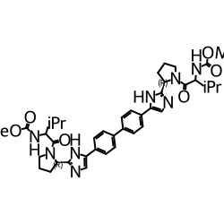 COC(=O)NC(C(=O)N1CCC[C@@H]1c1ncc(-c2ccc(-c3ccc(-c4cnc([C@H]5CCCN5C(=O)C(NC(=O)OC)C(C)C)[nH]4)cc3)cc2)[nH]1)C(C)C